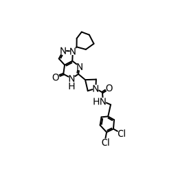 O=C(NCc1ccc(Cl)c(Cl)c1)N1CC(c2nc3c(cnn3C3CCCCC3)c(=O)[nH]2)C1